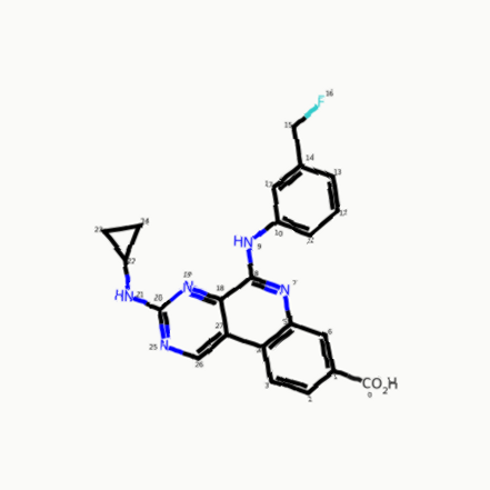 O=C(O)c1ccc2c(c1)nc(Nc1cccc(CF)c1)c1nc(NC3CC3)ncc12